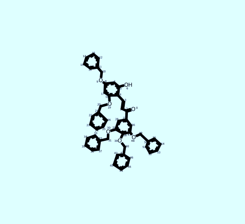 O=C(C=Cc1c(O)cc(OCc2ccccc2)cc1OCc1ccccc1)c1cc(OCc2ccccc2)c(OCc2ccccc2)c(OCc2ccccc2)c1